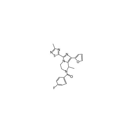 Cc1nsc(-c2nc(-c3ccco3)c3n2CCN(C(=O)c2ccc(F)cc2)C3C)n1